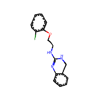 Fc1ccccc1OCCNC1=Nc2ccccc2CN1